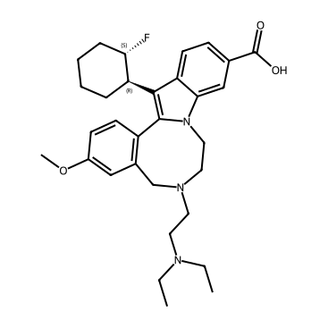 CCN(CC)CCN1CCn2c(c([C@H]3CCCC[C@@H]3F)c3ccc(C(=O)O)cc32)-c2ccc(OC)cc2C1